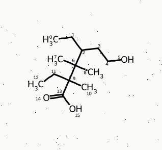 CCC(CCO)C(C)(C)C(C)(CC)C(=O)O